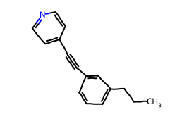 CCCc1cccc(C#Cc2ccncc2)c1